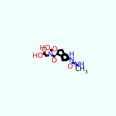 CNC(=O)Nc1ccc2c(c1)CC[C@@H]2C(=O)N(CC(=O)O)C(=O)O